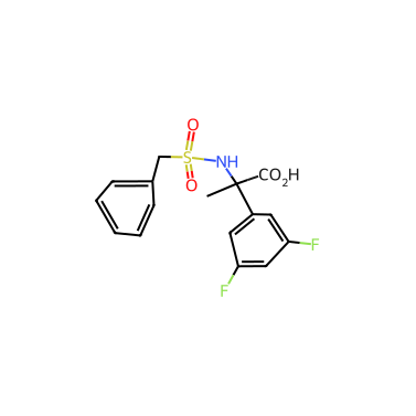 CC(NS(=O)(=O)Cc1ccccc1)(C(=O)O)c1cc(F)cc(F)c1